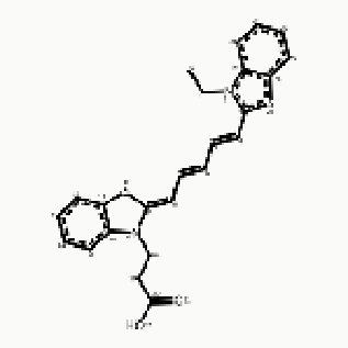 CC[n+]1c(C=CC=CC=C2Sc3ccccc3N2CCC(=O)O)sc2ccccc21